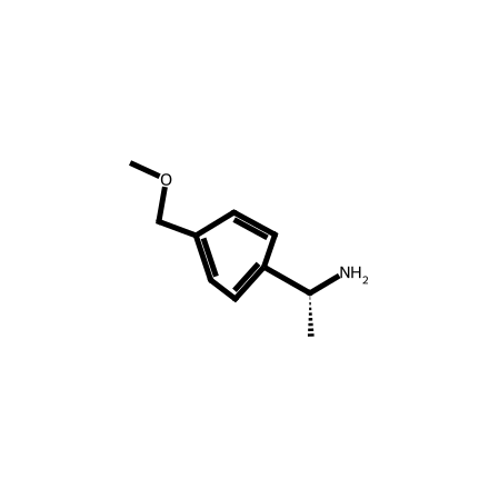 COCc1ccc([C@@H](C)N)cc1